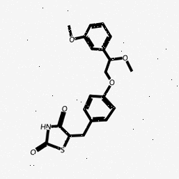 COc1cccc(C(COc2ccc(CC3SC(=O)NC3=O)cc2)OC)c1